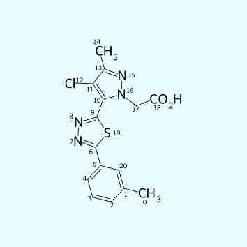 Cc1cccc(-c2nnc(-c3c(Cl)c(C)nn3CC(=O)O)s2)c1